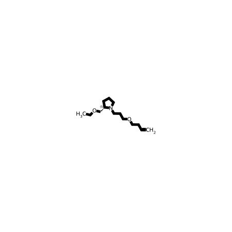 C=CCCOCCCN1CCC[C@H]1COCC